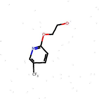 [O]CCOc1ccc(C(F)(F)F)cn1